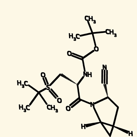 CC(C)(C)OC(=O)N[C@@H](CS(=O)(=O)C(C)(C)C)C(=O)N1[C@H](C#N)C[C@@H]2C[C@@H]21